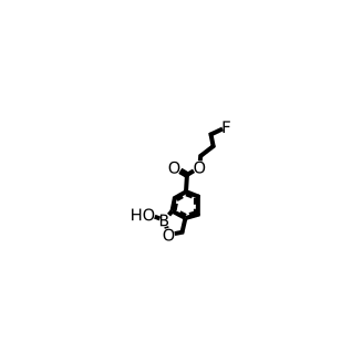 O=C(OCCCF)c1ccc2c(c1)B(O)OC2